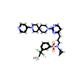 CC(F)(F)c1cccc(S(=O)(=O)N(CCCc2ccnc(N3CCC4(CCN(c5ccncc5)CC4)CC3)n2)C2CC2)c1